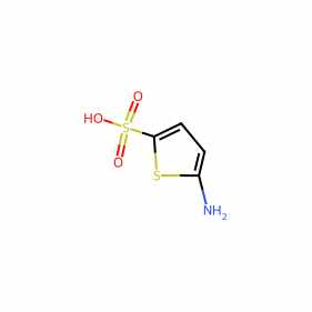 Nc1ccc(S(=O)(=O)O)s1